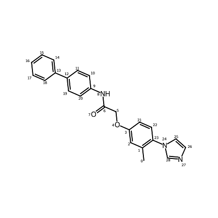 Cc1cc(OCC(=O)Nc2ccc(-c3ccccc3)cc2)ccc1-n1ccnc1